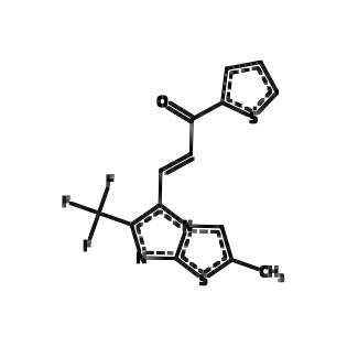 Cc1cn2c(C=CC(=O)c3cccs3)c(C(F)(F)F)nc2s1